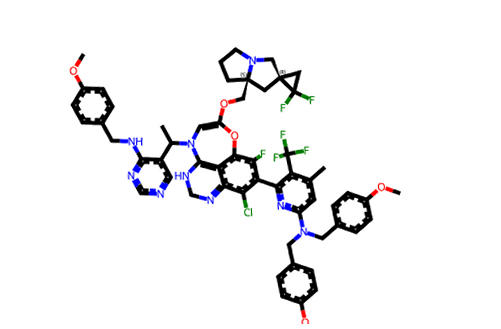 COc1ccc(CNc2ncncc2C(C)N2C=C(OC[C@@]34CCCN3C[C@]3(CC3(F)F)C4)Oc3c(F)c(-c4nc(N(Cc5ccc(OC)cc5)Cc5ccc(OC)cc5)cc(C)c4C(F)(F)F)c(Cl)c4c3=C2NCN=4)cc1